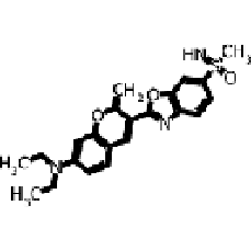 C=C1Oc2cc(N(CC)CC)ccc2C=C1c1nc2ccc(S(C)(=N)=O)cc2o1